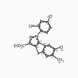 CCOC(=O)c1nn(-c2ccc(Cl)cc2Cl)c2c1Cc1cc(C)c(Cl)cc1-2